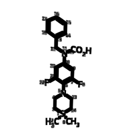 C[Si]1(C)CCN(c2c(F)cc(N(Cc3ccccc3)C(=O)O)cc2F)CC1